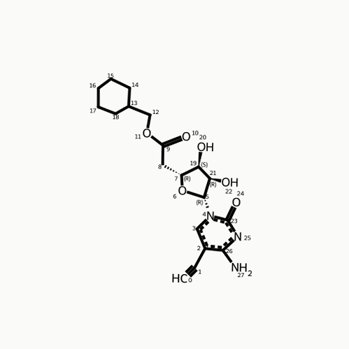 C#Cc1cn([C@@H]2O[C@H](CC(=O)OCC3CCCCC3)[C@@H](O)[C@H]2O)c(=O)nc1N